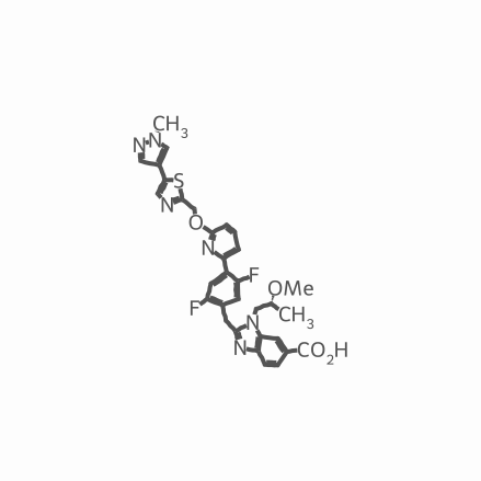 CO[C@H](C)Cn1c(Cc2cc(F)c(-c3cccc(OCc4ncc(-c5cnn(C)c5)s4)n3)cc2F)nc2ccc(C(=O)O)cc21